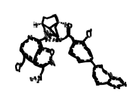 Nc1noc2c(N3C[C@@H]4CC[C@H]3[C@@H]4NC(=O)c3ccc(-c4ccc5nncn5c4)cc3Cl)ncc(Cl)c12